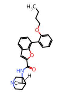 CCCCOc1ccccc1-c1cccc2cc(C(=O)N[C@@H]3CN4CCC3CC4)oc12